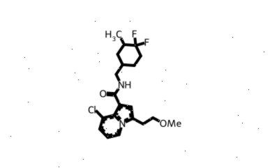 COCCc1cc(C(=O)NCC2CCC(F)(F)C(C)C2)c2c(Cl)cccn12